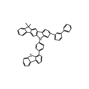 CC1(C)c2ccccc2-c2cc3c(cc21)c1ccc(-c2cccc(-c4ccccc4)c2)cc1n3-c1ccc(-c2cccc3c2sc2ccccc23)cc1